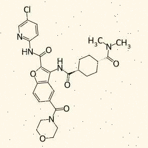 CN(C)C(=O)[C@H]1CC[C@H](C(=O)Nc2c(C(=O)Nc3ccc(Cl)cn3)oc3ccc(C(=O)N4CCOCC4)cc23)CC1